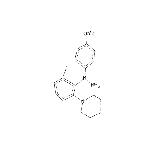 COc1ccc(N(N)c2c(C)cccc2N2CCCCC2)cc1